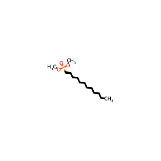 CCCCCCCCCCC=CP(=O)(OC)OC